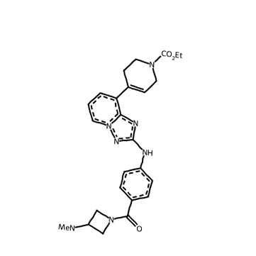 CCOC(=O)N1CC=C(c2cccn3nc(Nc4ccc(C(=O)N5CC(NC)C5)cc4)nc23)CC1